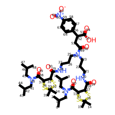 CC(C)CN(CC(C)C)C(=O)C1SC(C)(C)SC1C(=O)NCCCN(CCCNC(=O)C1SC(C)(C)SC1C(=O)N(CC(C)C)CC(C)C)C(=O)CC(C(=O)O)c1ccc([N+](=O)[O-])cc1